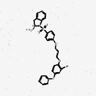 CCCc1cc(Oc2ccccc2)ccc1OCCCOc1ccc(S(=O)(=O)N2c3ccccc3C[C@@H]2C(=O)O)cc1